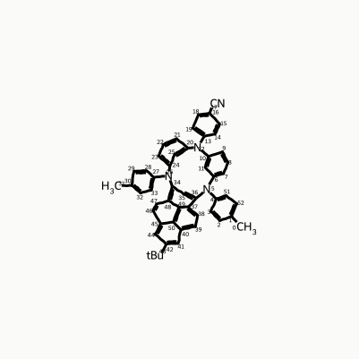 Cc1ccc(N2c3cccc(c3)N(c3ccc(C#N)cc3)c3cccc(c3)N(c3ccc(C)cc3)c3cc2c2ccc4cc(C(C)(C)C)cc5ccc3c2c45)cc1